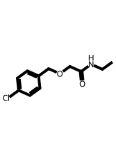 CCNC(=O)COCc1ccc(Cl)cc1